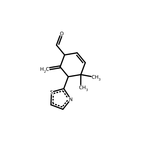 C=C1C(C=O)C=CC(C)(C)C1c1nccs1